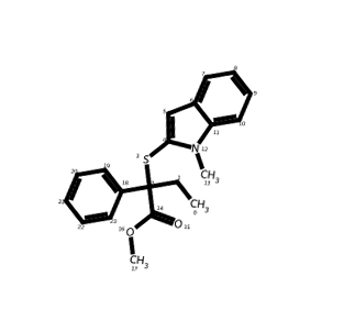 CCC(Sc1cc2ccccc2n1C)(C(=O)OC)c1ccccc1